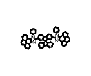 c1ccc(-n2c(-c3ccc4c(c3)C3(c5ccccc5-c5ccccc53)c3cc(-c5nc6c7cccc8ccc9cccc(c9c87)c6n5-c5ccccc5)ccc3-4)nc3c4cccc5ccc6cccc(c6c54)c32)cc1